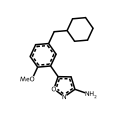 COc1ccc(CC2CCCCC2)cc1-c1cc(N)no1